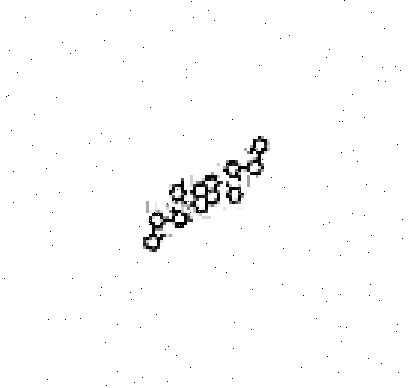 Cc1cccc(N(c2c(C)ccc(-c3cccc4c3oc3ccccc34)c2C)c2ccc3ccc4c(N(c5cccc(C)c5)c5c(C)ccc(-c6cccc7c6oc6ccccc67)c5C)ccc5ccc2c3c54)c1